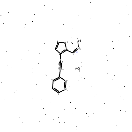 Cl.O/N=C\c1occc1C#Cc1cccnc1